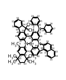 Cc1cc2c(cc1N1B3c4c(cc(N(c5ccccc5)c5ccccc5)cc4-n4c5ccc6ccccc6c5c5cccc3c54)-c3c1ccc1c3C(C)(C)c3ccccc3-1)C(C)(C)CCC2(C)C